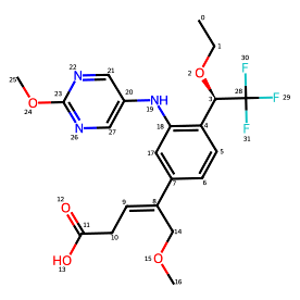 CCO[C@H](c1ccc(C(=CCC(=O)O)COC)cc1Nc1cnc(OC)nc1)C(F)(F)F